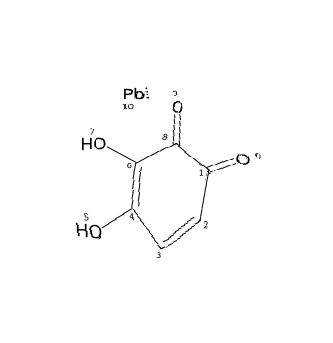 O=C1C=CC(O)=C(O)C1=O.[Pb]